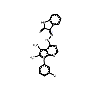 Cc1c(C)n(-c2cccc(Cl)c2)c2ncnc(N/N=C3\C(=O)Nc4ccccc43)c12